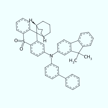 CC1(C)c2ccccc2-c2ccc(N(c3cccc(-c4ccccc4)c3)c3ccc4c(c3)C3(c5ccccc5S4(=O)=O)[C@H]4CCC[C@@H]3CCC4)cc21